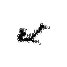 CCC(C)C1CC(=O)N(CC2CCC(C(=O)NCCOCCNC(=O)COCC(=O)N[C@@H](CCCCN)C(=O)Nc3ccc(COC(=O)O[C@]4(CC)C(=O)OCc5c4cc4n(c5=O)Cc5c-4nc4ccccc4c5CCN(C(C)C)S(C)(=O)=O)cc3)CC2)C1=O